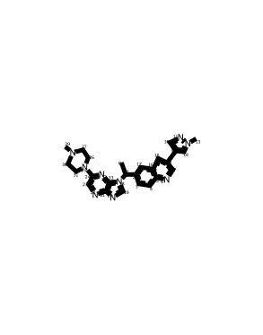 CC(c1ccc2ncc(-c3cnn(C)c3)cc2c1)n1cnc2ncc(N3CCN(C)CC3)nc21